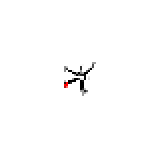 [F][Co]([F])([F])([F])([F])([F])([F])[F]